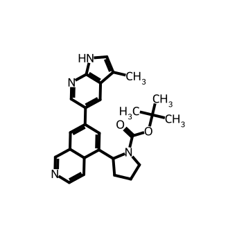 Cc1c[nH]c2ncc(C3=CC4C=NC=CC4C(C4CCCN4C(=O)OC(C)(C)C)=C3)cc12